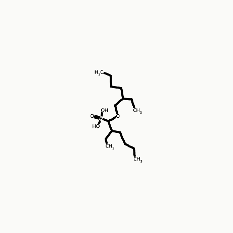 CCCCC(CC)COC(C(CC)CCCC)P(=O)(O)O